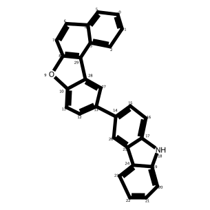 c1ccc2c(c1)ccc1oc3ccc(-c4ccc5[nH]c6ccccc6c5c4)cc3c12